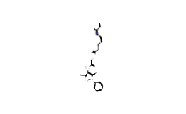 CC/C(F)=C\C=C/CCC(=O)OCC(=O)Nc1c(C)nn(-c2ccccc2)c1C